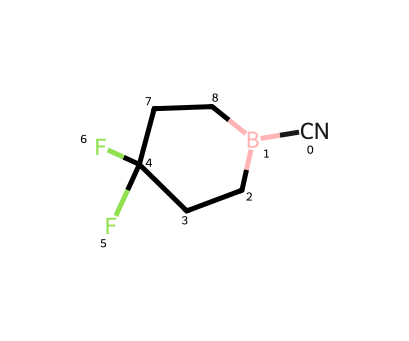 N#CB1CCC(F)(F)CC1